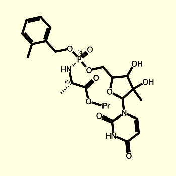 Cc1ccccc1CO[P@](=O)(N[C@@H](C)C(=O)OC(C)C)OCC1OC(n2ccc(=O)[nH]c2=O)C(C)(O)C1O